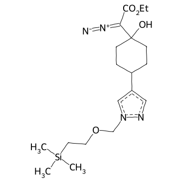 CCOC(=O)C(=[N+]=[N-])C1(O)CCC(c2cnn(COCC[Si](C)(C)C)c2)CC1